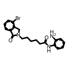 Nc1ccccc1NC(=O)CCCCCN1Cc2c(Br)cccc2C1=O